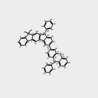 CC1(C)c2ccccc2-c2cc3c4cc(-c5ccc6c(c5)Sc5ccccc5N6c5ccccc5)ccc4n(-c4ccccc4)c3cc21